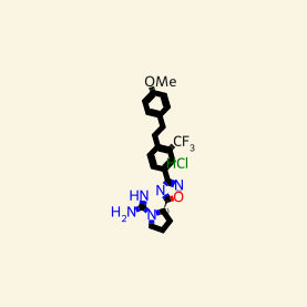 COc1ccc(CCc2ccc(-c3noc([C@@H]4CCCN4C(=N)N)n3)cc2C(F)(F)F)cc1.Cl